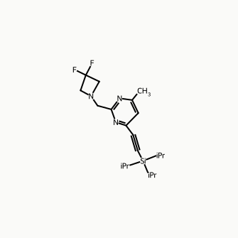 Cc1cc(C#C[Si](C(C)C)(C(C)C)C(C)C)nc(CN2CC(F)(F)C2)n1